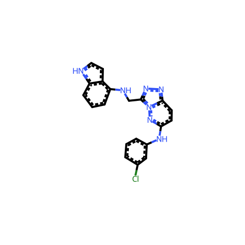 Clc1cccc(Nc2ccc3nnc(CNc4cccc5[nH]ccc45)n3n2)c1